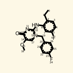 CCc1ccc(F)cc1Nc1nc(=O)c(OC)cn1Cc1ccc(F)cc1